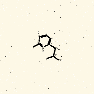 Cc1cccc(CC(C)C)n1